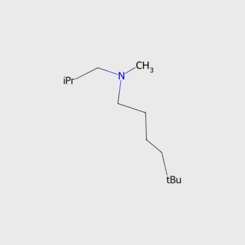 CC(C)CN(C)CCCCC(C)(C)C